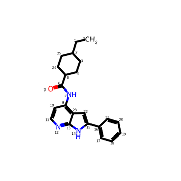 CCC1CCC(C(=O)Nc2ccnc3[nH]c(-c4ccccc4)cc23)CC1